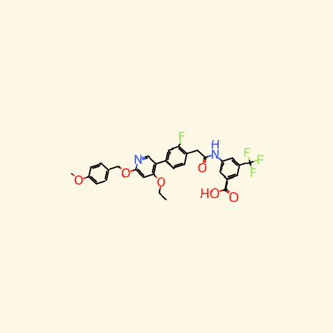 CCOc1cc(OCc2ccc(OC)cc2)ncc1-c1ccc(CC(=O)Nc2cc(C(=O)O)cc(C(F)(F)F)c2)c(F)c1